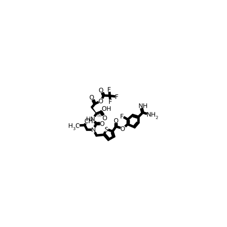 CC(C)CN(Cc1ccc(C(=O)Oc2ccc(C(=N)N)cc2F)s1)C(=O)N[C@@H](CC(=O)OC(=O)C(F)(F)F)C(=O)O